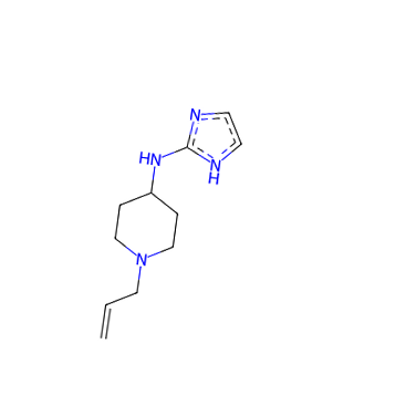 C=CCN1CCC(Nc2ncc[nH]2)CC1